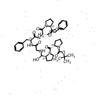 CC(C)(C)OC(=O)N1CCC[C@H]1C(=O)N1CCC[C@H]1C(O)NCC(=O)N[C@@H](Cc1ccccc1)C(=O)N[C@@H](COCc1ccccc1)C(=O)N1CCC[C@H]1C(=O)O